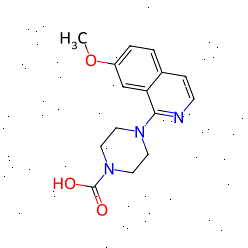 COc1ccc2ccnc(N3CCN(C(=O)O)CC3)c2c1